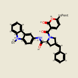 CCCCCc1ccc(C(=O)N2C/C(=C/c3ccccc3)C[C@H]2C(=O)Nc2ccc3c(c2)c2ccccc2n3CC)c(=O)o1